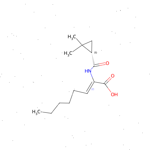 CCCCC/C=C(\NC(=O)[C@H]1CC1(C)C)C(=O)O